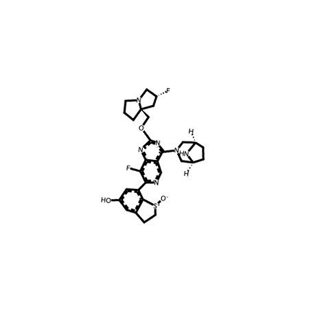 [O-][S+]1CCc2cc(O)cc(-c3ncc4c(N5C[C@H]6CC[C@@H](C5)N6)nc(OC[C@@]56CCCN5C[C@H](F)C6)nc4c3F)c21